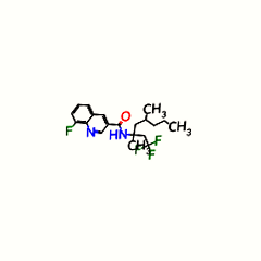 CCCC(C)CC(C)(CC(F)(F)F)NC(=O)c1cnc2c(F)cccc2c1